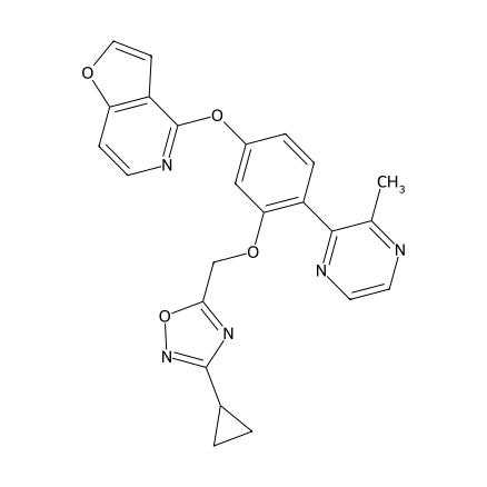 Cc1nccnc1-c1ccc(Oc2nccc3occc23)cc1OCc1nc(C2CC2)no1